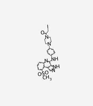 CS(=O)(=O)c1cccc2nc(Nc3ccc(N4CCN(C(=O)CI)CC4)cc3)c3[nH]ncc3c12